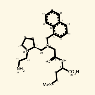 CSCCC(NC(=O)CN(Cc1cccc2ccccc12)C[C@@H]1CCCN1CCN)C(=O)O